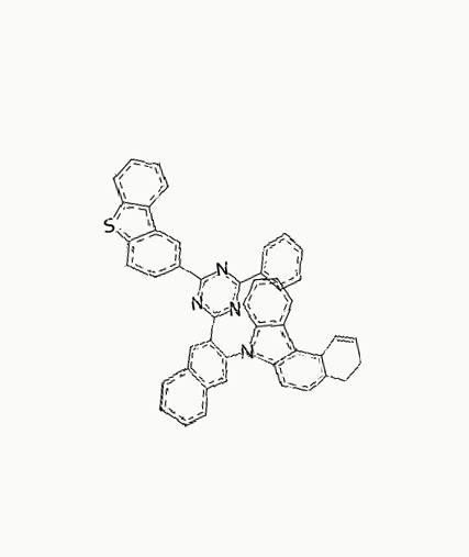 C1=Cc2c(ccc3c2c2ccccc2n3-c2cc3ccccc3cc2-c2nc(-c3ccccc3)nc(-c3ccc4sc5ccccc5c4c3)n2)CC1